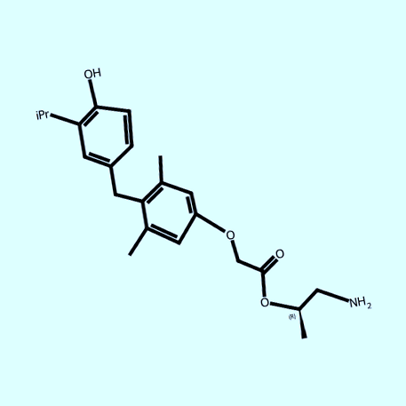 Cc1cc(OCC(=O)O[C@H](C)CN)cc(C)c1Cc1ccc(O)c(C(C)C)c1